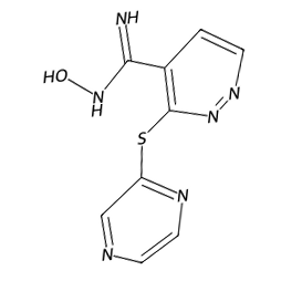 N=C(NO)c1ccnnc1Sc1cnccn1